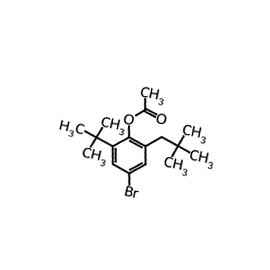 CC(=O)Oc1c(CC(C)(C)C)cc(Br)cc1C(C)(C)C